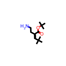 CC(C)(C)C=C(CCN)C(=O)OC(C)(C)C